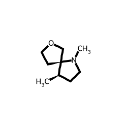 C[C@@H]1CCN(C)[C@]12CCOC2